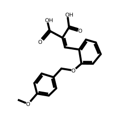 COc1ccc(COc2ccccc2C=C(C(=O)O)C(=O)O)cc1